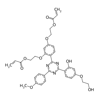 C=CC(=O)OCCOc1ccc(-c2nc(-c3ccc(OC)cc3)nc(-c3ccc(OCCO)cc3O)n2)c(OCCOC(=O)C=C)c1